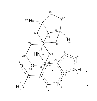 NC(=O)c1cnc2[nH]ccc2c1N[C@@H]1C[C@H]2CC[C@@H](C1)N2C1CCOCC1